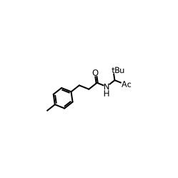 CC(=O)C(NC(=O)CCc1ccc(C)cc1)C(C)(C)C